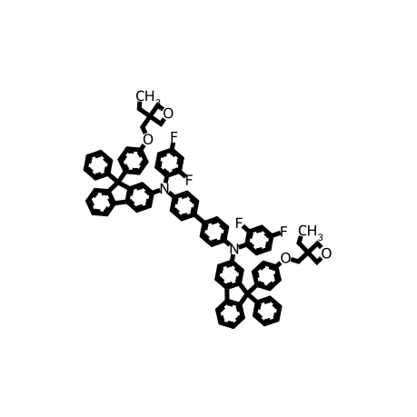 CCC1(COc2ccc(C3(c4ccccc4)c4ccccc4-c4ccc(N(c5ccc(-c6ccc(N(c7ccc8c(c7)C(c7ccccc7)(c7ccc(OCC9(CC)COC9)cc7)c7ccccc7-8)c7ccc(F)cc7F)cc6)cc5)c5ccc(F)cc5F)cc43)cc2)COC1